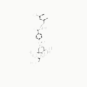 C=CC(=O)NC1C(C)(C)CN(S(=O)(=O)c2ccc(C(=O)NCCc3cccc(Cl)c3)cc2)CC1(C)C